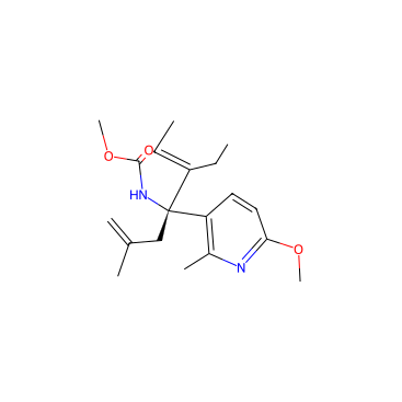 C=C(C)C[C@@](NC(=O)OC)(/C(=C/C)CC)c1ccc(OC)nc1C